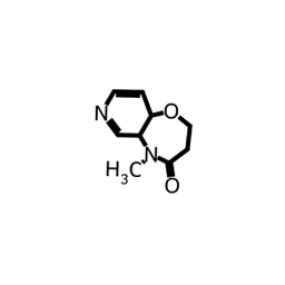 CN1C(=O)CCOC2C=CN=CC21